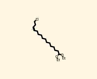 CCOC(CCCCCCCCCCC/C=C\CCCl)OCC